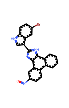 O=Nc1ccc2c3ccccc3c3[nH]c(-c4c[nH]c5ccc(Br)cc45)nc3c2c1